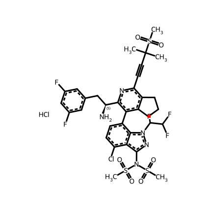 CC(C)(C#Cc1nc([C@@H](N)Cc2cc(F)cc(F)c2)c(-c2ccc(Cl)c3c(N(S(C)(=O)=O)S(C)(=O)=O)nn(C(F)C(F)F)c23)c2c1CCC2)S(C)(=O)=O.Cl